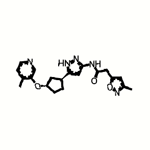 Cc1cc(CC(=O)Nc2cc([C@H]3CC[C@@H](Oc4cnccc4C)C3)[nH]n2)on1